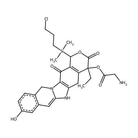 CCC1(OC(=O)CN)C(=O)OC([Si](C)(C)CCCCl)C2=C1CC1=C(C2=O)N2Cc3ccc(O)cc3C=C2N1